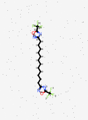 FC(F)(F)c1nc(CCCCCCCCCCCCc2noc(C(F)(F)F)n2)no1